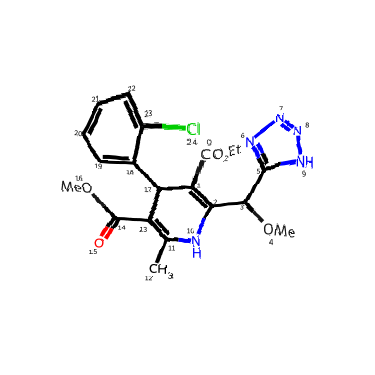 CCOC(=O)C1=C(C(OC)c2nnn[nH]2)NC(C)=C(C(=O)OC)C1c1ccccc1Cl